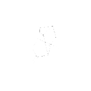 O=C1OC2CC3CC1C2(O)C3